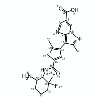 Cc1nn2cc(C(=O)O)cnc2c1-c1cc(C(=O)NC2C(N)CCCC2(F)F)sc1C